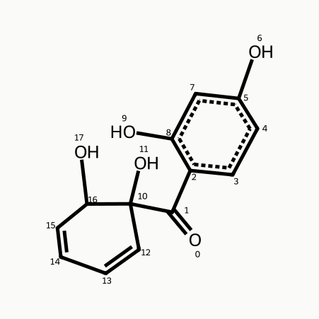 O=C(c1ccc(O)cc1O)C1(O)C=CC=CC1O